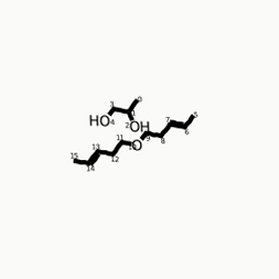 CC(O)CO.CC=CCCOCCC=CC